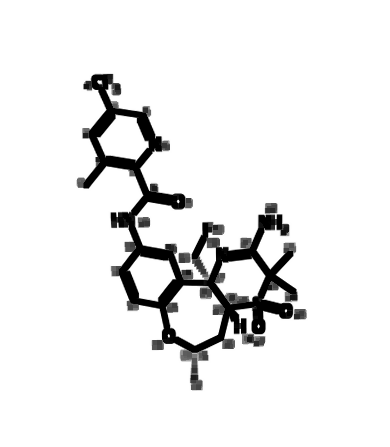 Cc1cc(C(F)(F)F)cnc1C(=O)Nc1ccc2c(c1)[C@@]1(CF)N=C(N)C(C)(C)S(=O)(=O)[C@@H]1C[C@H](C)O2